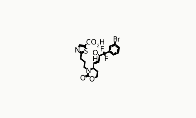 O=C(O)c1cnc(CCCN2C(=O)OCC[C@@H]2/C=C/[C@@H](O)C(F)(F)c2cccc(Br)c2)s1